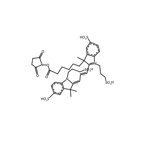 CC1(CCCCCC(=O)ON2C(=O)CCC2=O)C(/C=C/C=C2\N(CCCS(=O)(=O)O)c3ccc(S(=O)(=O)O)cc3C2(C)C)=[N+](CCCS(=O)(=O)O)c2ccc(S(=O)(=O)O)cc21